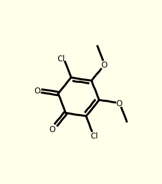 COC1=C(Cl)C(=O)C(=O)C(Cl)=C1OC